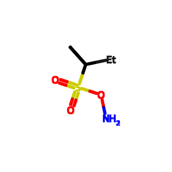 CCC(C)S(=O)(=O)ON